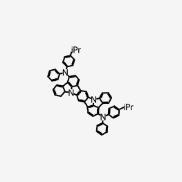 CC(C)c1ccc(N(c2ccccc2)c2ccc3c4cc5c(cc4n4c3c2C2=CC=CCC24)c2ccc(N(c3ccccc3)c3ccc(C(C)C)cc3)c3c4ccccc4n5c23)cc1